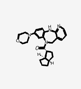 O=C([C@@H]1CC[C@H]2CCC[C@H]21)N1Cc2cccnc2Nc2ccc(N3CCOCC3)cc21